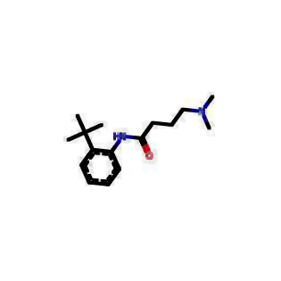 CN(C)CCCC(=O)Nc1ccccc1C(C)(C)C